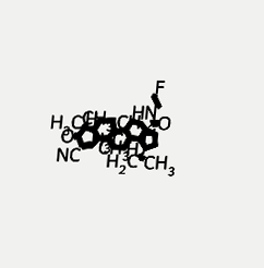 C=C(C)[C@@H]1CC[C@]2(C(=O)NCCF)CC[C@]3(C)[C@H](CCC4[C@@]5(C)C=C(C#N)C(=O)C(C)(C)[C@@H]5CC[C@]43C)[C@@H]12